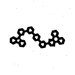 c1cc(-c2ccc(-c3cccc(-c4cnc5c6ccccc6c6ccccc6c5n4)c3)cc2)cc(-c2cccc(-n3c4ccccc4c4ccccc43)c2)c1